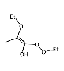 CCOOC(O)=C(C)OCC